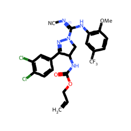 C=CCOC(=O)NC1CN(/C(=N\C#N)Nc2cc(C(F)(F)F)ccc2OC)N=C1c1ccc(Cl)c(Cl)c1